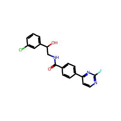 O=C(NCC(O)c1cccc(Cl)c1)c1ccc(-c2ccnc(F)n2)cc1